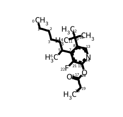 CCCCCC(C)c1c(C(C)(C)C)cnc(OC(=O)CC)c1F